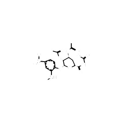 CNc1cc([N+](=O)[O-])ccc1O[C@@H]1O[C@H](C(=O)O)[C@@H](OC(C)=O)[C@H](OC(C)=O)[C@H]1OC(C)=O